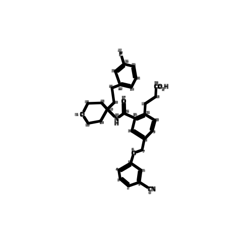 N#Cc1cccc(OCc2ccc(CCC(=O)O)c(C(=O)NC3(CCc4cccc(F)c4)CCOCC3)c2)c1